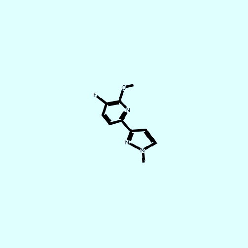 COc1nc(-c2ccn(C)n2)ccc1F